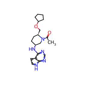 CC(=O)N1C[C@@H](Nc2ncnc3[nH]ccc23)CC[C@H]1COC1CCCC1